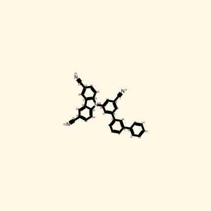 N#Cc1cc(-c2cccc(-c3ccccc3)c2)cc(-n2c3ccc(C#N)cc3c3cc(C#N)ccc32)c1